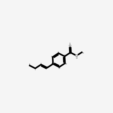 CCC=Cc1ccc(C(=O)OC)cc1